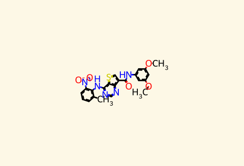 COc1cc(NC(=O)c2csc3c(Nc4c(C)cccc4[N+](=O)[O-])ncnc23)cc(OC)c1